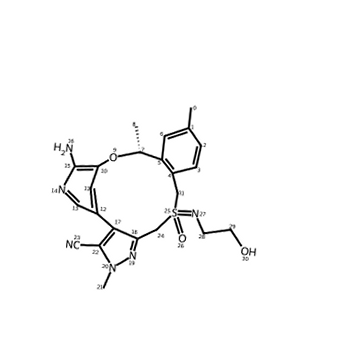 Cc1ccc2c(c1)[C@@H](C)Oc1cc(cnc1N)-c1c(nn(C)c1C#N)CS(=O)(=NCCO)C2